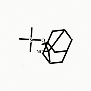 CC12CC3CC(C1)C(C#N)(O[Si](C)(C)C)C(C3)C2